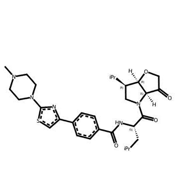 CC(C)C[C@H](NC(=O)c1ccc(-c2csc(N3CCN(C)CC3)n2)cc1)C(=O)N1C[C@@H](C(C)C)[C@H]2OCC(=O)[C@H]21